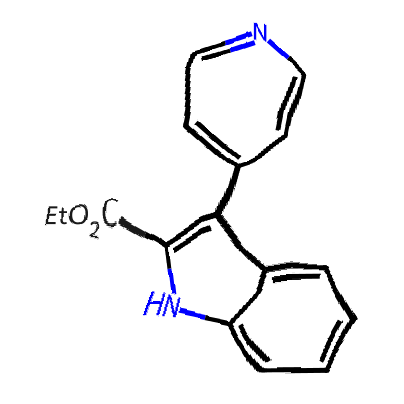 CCOC(=O)c1[nH]c2ccccc2c1-c1ccncc1